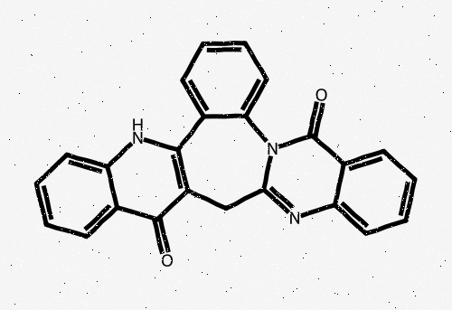 O=c1c2c([nH]c3ccccc13)-c1ccccc1-n1c(nc3ccccc3c1=O)C2